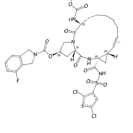 CC(C)(C)OC(=O)N[C@H]1CCCCC/C=C\[C@@H]2C[C@@]2(C(=O)NS(=O)(=O)c2cc(Cl)sc2Cl)NC(=O)[C@@H]2C[C@@H](OC(=O)N3Cc4cccc(F)c4C3)CN2C1=O